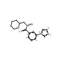 CCN(CC1CCCCO1)C(=O)c1cccc(-n2cnnc2)c1